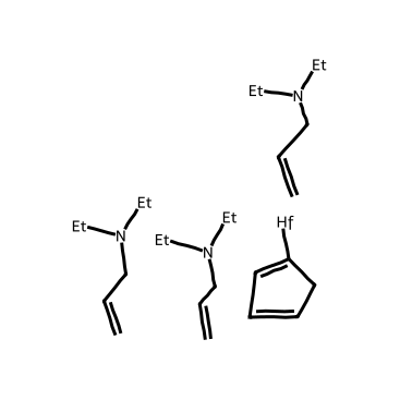 C=CCN(CC)CC.C=CCN(CC)CC.C=CCN(CC)CC.[Hf][C]1=CC=CC1